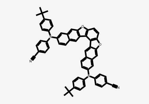 CC(C)(C)c1ccc(N(c2ccc(C#N)cc2)c2ccc3cc4c(cc3c2)oc2ccc3oc5cc6cc(N(c7ccc(C#N)cc7)c7ccc(C(C)(C)C)cc7)ccc6cc5c3c24)cc1